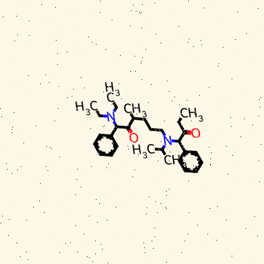 CCC(=O)C(c1ccccc1)N(CCCC(C)C(=O)C(c1ccccc1)N(CC)CC)C(C)C